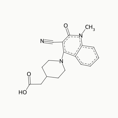 Cn1c(=O)c(C#N)c(N2CCC(CC(=O)O)CC2)c2ccccc21